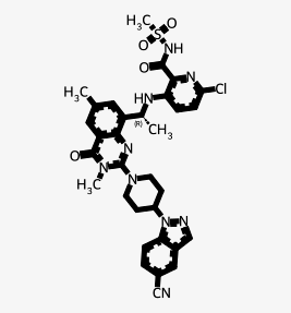 Cc1cc([C@@H](C)Nc2ccc(Cl)nc2C(=O)NS(C)(=O)=O)c2nc(N3CCC(n4ncc5cc(C#N)ccc54)CC3)n(C)c(=O)c2c1